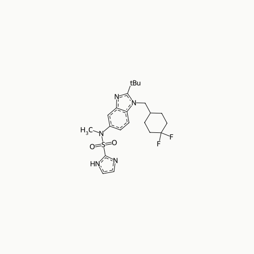 CN(c1ccc2c(c1)nc(C(C)(C)C)n2CC1CCC(F)(F)CC1)S(=O)(=O)c1ncc[nH]1